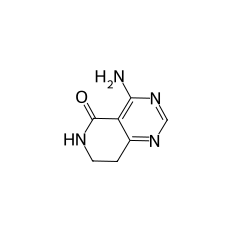 Nc1ncnc2c1C(=O)NCC2